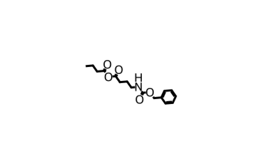 CCCC(=O)OC(=O)CCCNC(=O)OCc1ccccc1